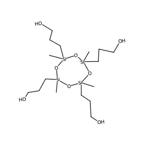 C[Si]1(CCCO)O[Si](C)(CCCO)O[Si](C)(CCCO)O[Si](C)(CCCO)O1